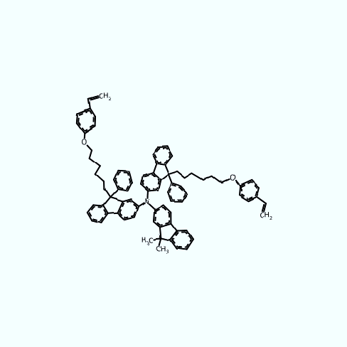 C=Cc1ccc(OCCCCCCC2(c3ccccc3)c3ccccc3-c3ccc(N(c4ccc5c(c4)C(C)(C)c4ccccc4-5)c4ccc5c(c4)C(CCCCCCOc4ccc(C=C)cc4)(c4ccccc4)c4ccccc4-5)cc32)cc1